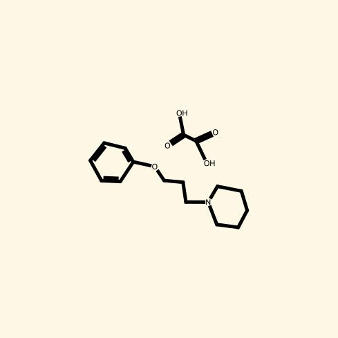 O=C(O)C(=O)O.c1ccc(OCCCN2CCCCC2)cc1